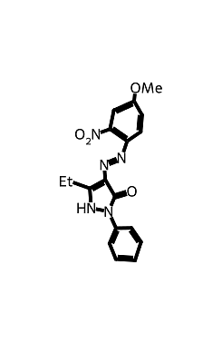 CCc1[nH]n(-c2ccccc2)c(=O)c1N=Nc1ccc(OC)cc1[N+](=O)[O-]